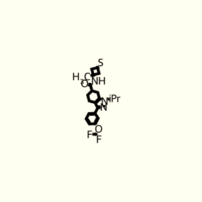 CC(C)n1nc(-c2cccc(OC(F)F)c2)c2c1CC(C(=O)NC1(C)CC(=S)C1)CC2